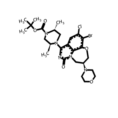 C[C@@H]1CN(c2nc(=O)n3c4c(c(Br)c(Cl)cc24)OC[C@@H](N2CCOCC2)C3)[C@@H](C)CN1C(=O)OC(C)(C)C